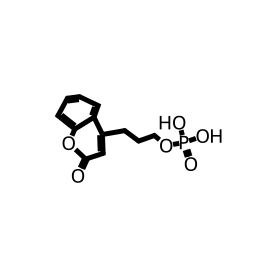 O=c1cc(CCCOP(=O)(O)O)c2ccccc2o1